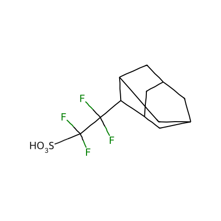 O=S(=O)(O)C(F)(F)C(F)(F)C1C2CC3CC(C2)CC1C3